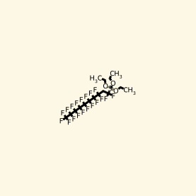 CCO[Si](OCC)(OCC)C(F)(F)CC(F)(F)C(F)(F)C(F)(F)C(F)(F)C(F)(F)C(F)(F)C(F)(F)C(F)(F)F